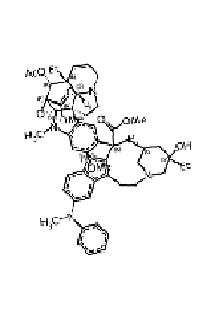 CC[C@]1(O)C[C@H]2CN(CCc3c([nH]c4ccc(N(C)c5ccccc5)cc34)[C@@](C(=O)OC)(c3cc4c(cc3OC)N(C)[C@@]35O[C@]3(C(=O)OC)[C@H](OC(C)=O)[C@]3(CC)C=CCN6CC[C@]45[C@@H]63)C2)C1